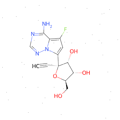 C#C[C@@]1(c2cc(F)c3c(N)ncnn23)O[C@H](CO)[C@@H](O)[C@H]1O